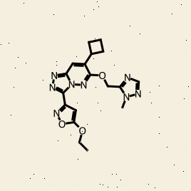 CCOc1cc(-c2nnc3cc(C4CCC4)c(OCc4ncnn4C)nn23)no1